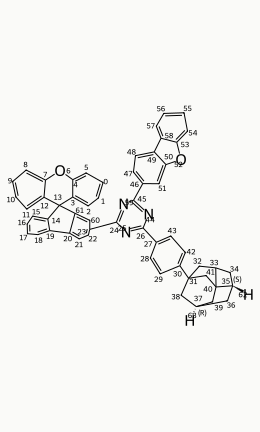 c1ccc2c(c1)Oc1ccccc1C21c2ccccc2-c2ccc(-c3nc(-c4ccc(C56CC7C[C@@H]8C[C@@H](C5)CC78C6)cc4)nc(-c4ccc5c(c4)oc4ccccc45)n3)cc21